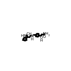 Cc1[nH]c2ccccc2c1CCNCc1ccc(/C(O)=C/C(N)=O)cc1